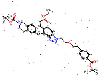 CCOC(=O)CC(c1ccc2c(c1)CN(C(=O)OC(C)(C)C)CC2)c1ccc2c(nnn2CCOCCc2ccc(C(=O)OC(C)(C)C)cc2)c1C